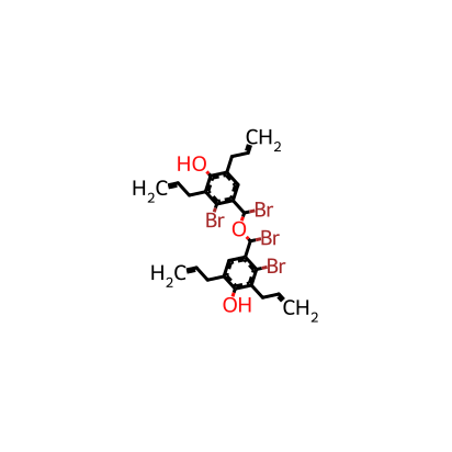 C=CCc1cc(C(Br)OC(Br)c2cc(CC=C)c(O)c(CC=C)c2Br)c(Br)c(CC=C)c1O